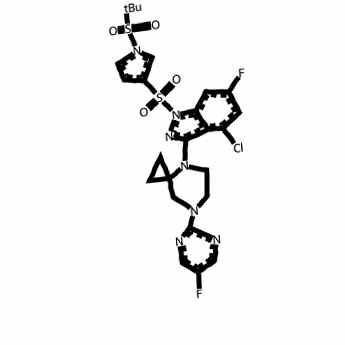 CC(C)(C)S(=O)(=O)n1ccc(S(=O)(=O)n2nc(N3CCN(c4ncc(F)cn4)CC34CC4)c3c(Cl)cc(F)cc32)c1